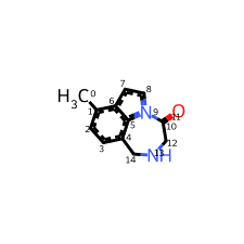 Cc1ccc2c3c1ccn3C(=O)CNC2